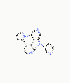 c1cncc(-n2c3cncc4c3c3c(ccnc32)c2cccn24)c1